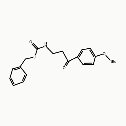 CC(C)(C)Oc1ccc(C(=O)CCNC(=O)OCc2ccccc2)cc1